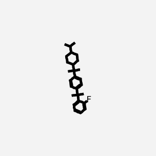 CC(C)C1CCC(C(C)(C)c2ccc(C(C)(C)c3ccccc3F)cc2)CC1